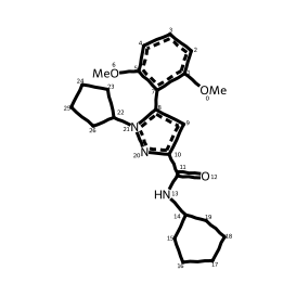 COc1cccc(OC)c1-c1cc(C(=O)NC2CCCCC2)nn1C1CCCC1